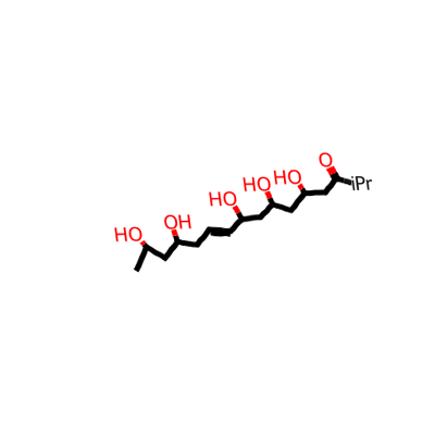 CC(O)CC(O)C/C=C/C(O)CC(O)CC(O)CC(=O)C(C)C